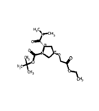 CCOC(=O)CO[C@@H]1C[C@@H](C(=O)N(C)C)N(C(=O)OC(C)(C)C)C1